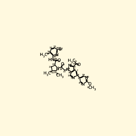 COc1ncc(-c2cc3c(C(C)=O)nn(CC(=O)N4[C@H](C)[C@@H](C)C[C@H]4C(=O)Nc4nc(Br)ccc4C)c3cn2)cn1